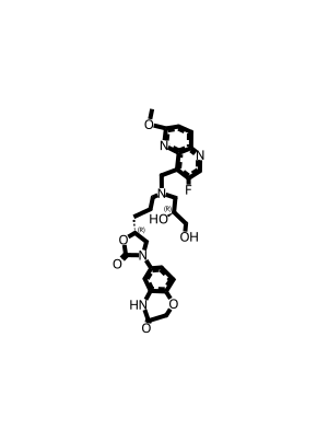 COc1ccc2ncc(F)c(CN(CCC[C@@H]3CN(c4ccc5c(c4)NC(=O)CO5)C(=O)O3)C[C@@H](O)CO)c2n1